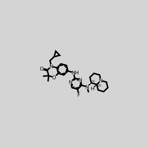 CN(c1nc(Nc2ccc3c(c2)OC(C)(C)C(=O)N3CC2CC2)ncc1F)[C@H]1CCCN2CCCC[C@H]12